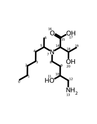 CCCCCC(C)N(CCC(O)CN)C(C(=O)O)C(C)O